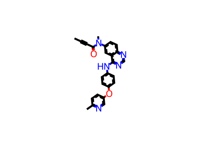 CC#CC(=O)N(C)c1ccc2ncnc(Nc3ccc(Oc4ccc(C)nc4)cc3)c2c1